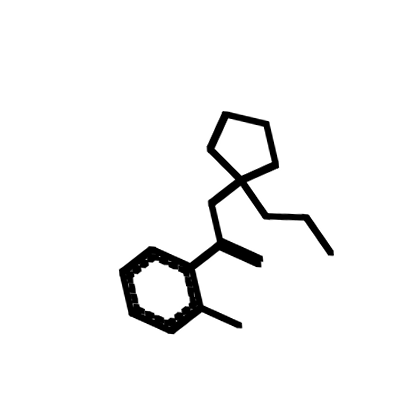 C=C(CC1(CCC)CCCC1)c1ccccc1C